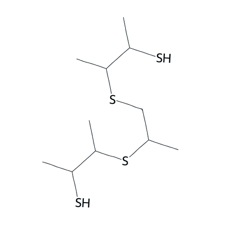 CC(CSC(C)C(C)S)SC(C)C(C)S